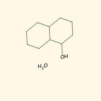 O.OC1CCCC2CCCCC12